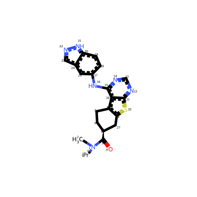 CC(C)N(C)C(=O)[C@H]1CCc2c(sc3ncnc(Nc4ccc5[nH]ncc5c4)c23)C1